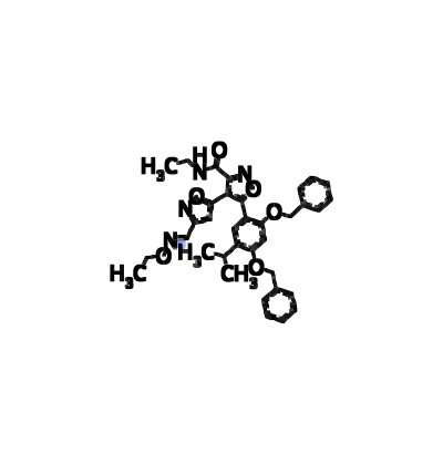 CCNC(=O)c1noc(-c2cc(C(C)C)c(OCc3ccccc3)cc2OCc2ccccc2)c1-c1cc(/C=N/OCC)no1